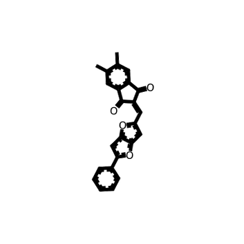 Cc1cc2c(cc1C)C(=O)C(=Cc1cc3oc(-c4ccccc4)cc3o1)C2=O